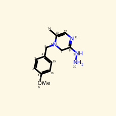 COc1ccc(CN2CC(NN)=NC=C2C)cc1